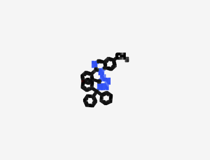 Cc1ccc2nc(-c3ccccc3-c3nnnn3C(c3ccccc3)(c3ccccc3)c3ccccc3)ncc2c1